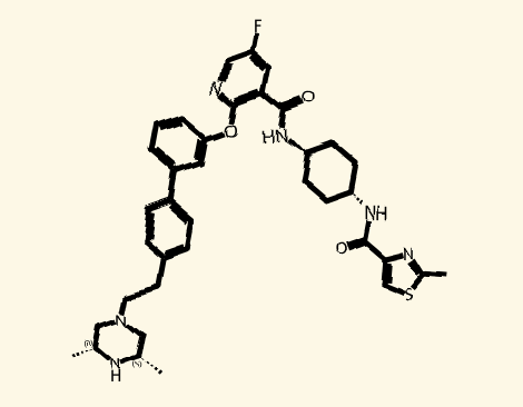 Cc1nc(C(=O)N[C@H]2CC[C@H](NC(=O)c3cc(F)cnc3Oc3cccc(-c4ccc(CCN5C[C@@H](C)N[C@@H](C)C5)cc4)c3)CC2)cs1